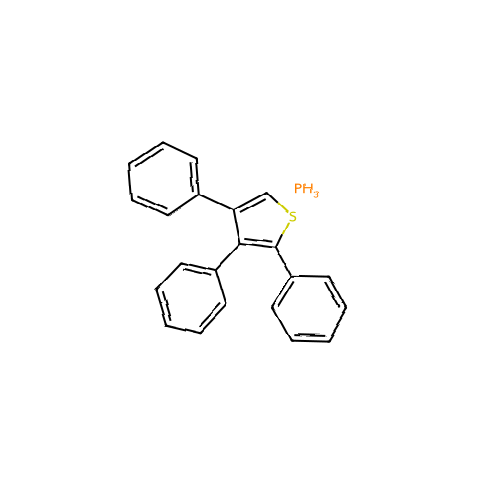 P.c1ccc(-c2csc(-c3ccccc3)c2-c2ccccc2)cc1